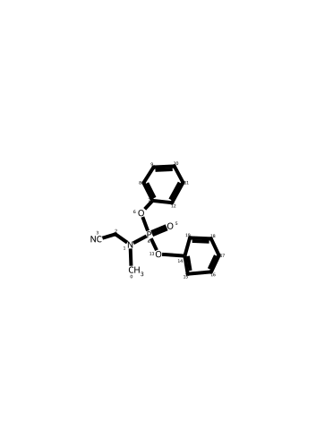 CN(CC#N)P(=O)(Oc1ccccc1)Oc1ccccc1